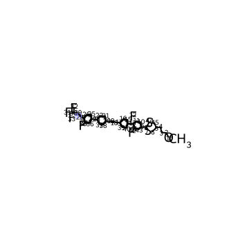 COCCCC1CSC(c2cc(F)c(-c3ccc(C#Cc4ccc(-c5ccc(/C=C/C(F)(F)F)c(F)c5)cc4)cc3)c(F)c2)SC1